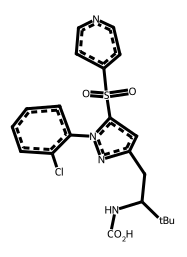 CC(C)(C)C(Cc1cc(S(=O)(=O)c2ccncc2)n(-c2ccccc2Cl)n1)NC(=O)O